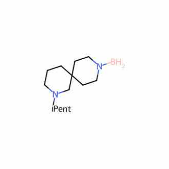 BN1CCC2(CCCN(C(C)CCC)C2)CC1